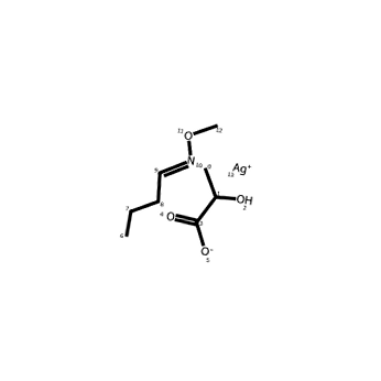 CC(O)C(=O)[O-].CCCC=NOC.[Ag+]